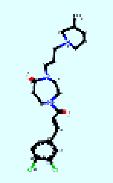 CC1CCCN(CCCN2CCN(C(=O)/C=C/c3ccc(Cl)c(Cl)c3)CCC2=O)C1